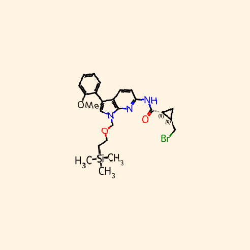 COc1ccccc1-c1cn(COCC[Si](C)(C)C)c2nc(NC(=O)[C@@H]3C[C@H]3CBr)ccc12